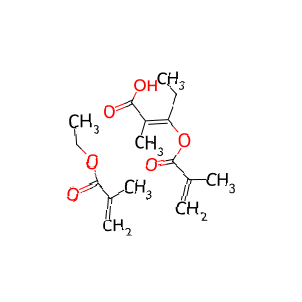 C=C(C)C(=O)OC(CC)=C(C)C(=O)O.C=C(C)C(=O)OCC